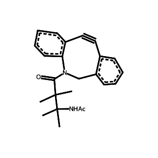 CC(=O)NC(C)(C)C(C)(C)C(=O)N1Cc2ccccc2C#Cc2ccccc21